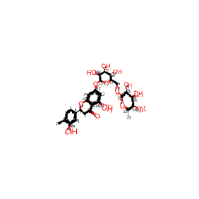 Cc1ccc([C@@H]2CC(=O)c3c(O)cc(O[C@@H]4OC(CO[C@@H]5O[C@@H](C)[C@H](O)C(O)[C@@H]5O)[C@@H](O)[C@H](O)C4O)cc3O2)cc1O